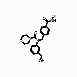 O=C(NO)c1ccc(CN(C(=O)N2CCOCC2)c2cccc(CO)c2)cc1